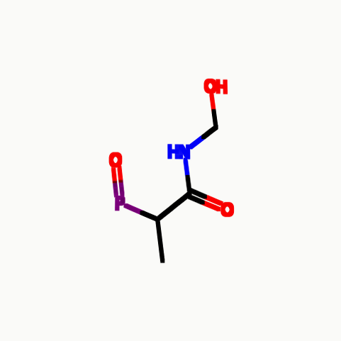 CC(P=O)C(=O)NCO